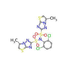 Cc1csc2nc(S(=O)(=O)N(c3c(Cl)cccc3Cl)S(=O)(=O)c3nc4scc(C)n4n3)nn12